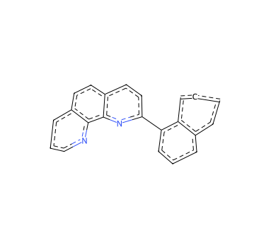 c1ccc2c(-c3ccc4ccc5cccnc5c4n3)cccc2c1